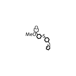 COC1(c2cccc(Sc3ccc(Cn4cccc4)cc3)c2)CCOCC1